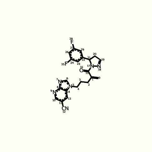 C=C(CCCn1cnc2ncc(C#N)cc21)C(=O)N1N=CCC1c1cc(F)cc(F)c1